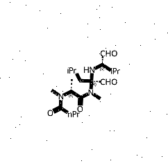 CCCC(=O)N(C)[C@H](C)C(=O)N(C)[C@@](C=O)(CC(C)C)N[C@H](C=O)C(C)C